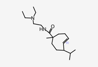 CCN(CC)CCNC(=O)C1(C)CC/C=C/C(C(C)C)CC1